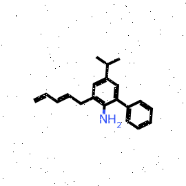 C=C/C=C/Cc1cc(C(C)C)cc(-c2ccccc2)c1N